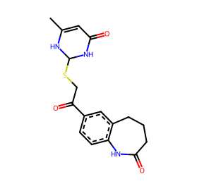 CC1=CC(=O)NC(SCC(=O)c2ccc3c(c2)CCCC(=O)N3)N1